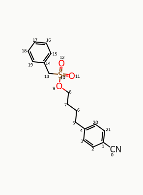 N#Cc1ccc(CCCCOS(=O)(=O)Cc2ccccc2)cc1